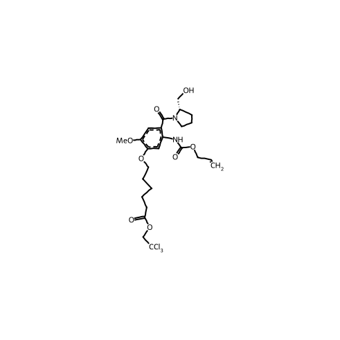 C=CCOC(=O)Nc1cc(OCCCCCC(=O)OCC(Cl)(Cl)Cl)c(OC)cc1C(=O)N1CCC[C@H]1CO